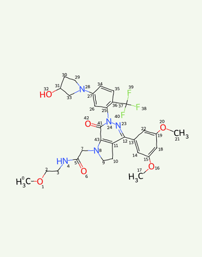 COCCNC(=O)CN1CCc2c(-c3cc(OC)cc(OC)c3)nn(-c3cc(N4CCC(O)C4)ccc3C(F)(F)F)c(=O)c21